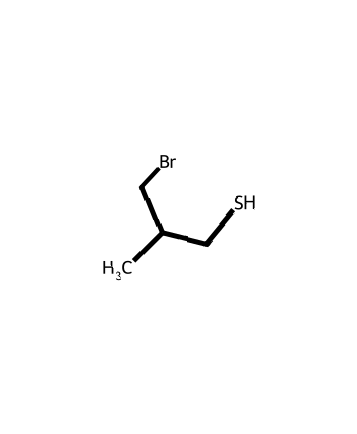 CC(CS)CBr